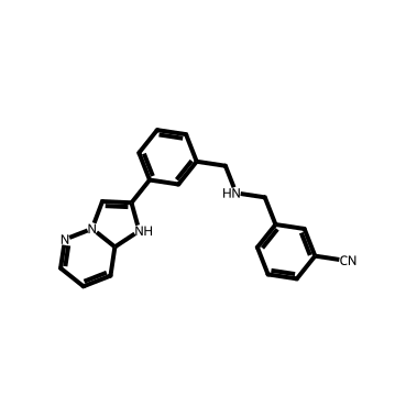 N#Cc1cccc(CNCc2cccc(C3=CN4N=CC=CC4N3)c2)c1